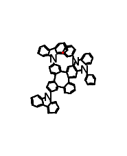 c1ccc(-n2c3ccccc3n(-c3ccccc3)c3cc4c5cc(-n6c7ccccc7c7ccccc76)ccc5c5ccc(-n6c7ccccc7c7ccccc76)cc5c5ccccc5c4cc32)cc1